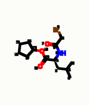 CC(C)C[C@@H](NC(=O)CBr)C(=O)OC1CCCC1